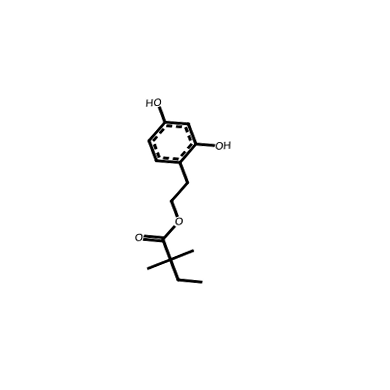 CCC(C)(C)C(=O)OCCc1ccc(O)cc1O